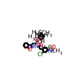 CC1(C)[C@@H]2C[C@H]3OB([C@H](Cc4coc5ccccc45)NC(=O)Cc4ccc(N=S(C)(C)=O)cc4Cl)O[C@@]3(C)[C@H]1C2